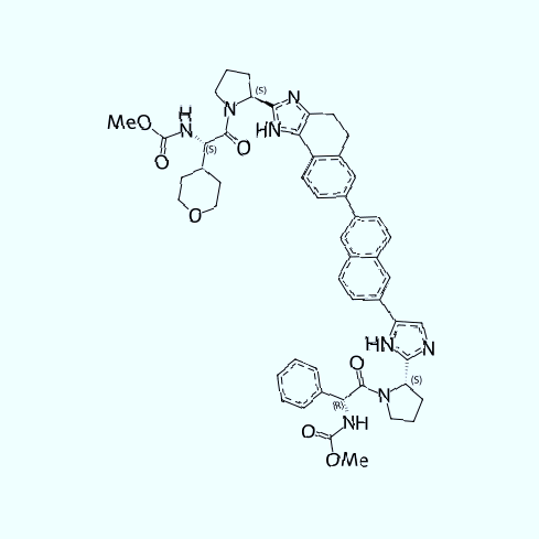 COC(=O)N[C@H](C(=O)N1CCC[C@H]1c1nc2c([nH]1)-c1ccc(-c3ccc4cc(-c5cnc([C@@H]6CCCN6C(=O)[C@H](NC(=O)OC)c6ccccc6)[nH]5)ccc4c3)cc1CC2)C1CCOCC1